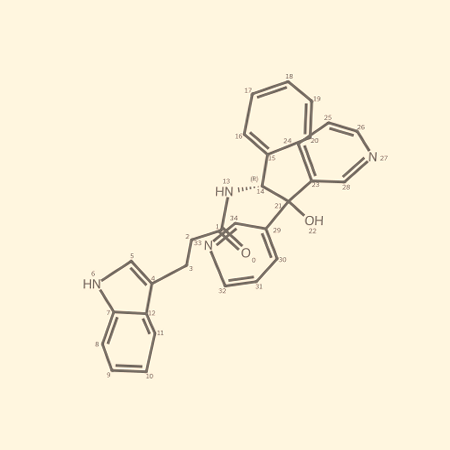 O=C(CCc1c[nH]c2ccccc12)N[C@H](c1ccccc1)C(O)(c1cccnc1)c1cccnc1